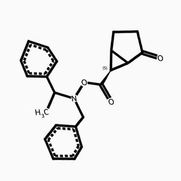 CC(c1ccccc1)N(Cc1ccccc1)OC(=O)[C@H]1C2CCC(=O)C21